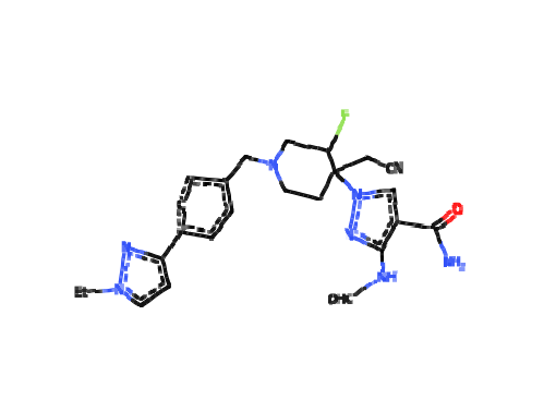 CCn1ccc(-c2ccc(CN3CCC(CC#N)(n4cc(C(N)=O)c(NC=O)n4)C(F)C3)cc2)n1